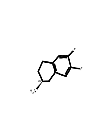 N[C@H]1CCc2cc(F)c(F)cc2C1